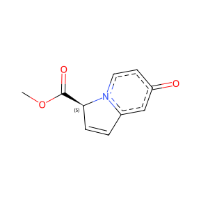 COC(=O)[C@@H]1C=Cc2cc(=O)ccn21